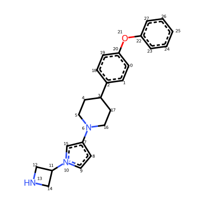 [c]1cc(C2CCN(c3ccn(C4CNC4)c3)CC2)ccc1Oc1ccccc1